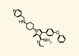 C=c1/c(=C(N)\N=C/C)c(-c2ccc(Oc3ccccc3)cc2)cn1C1CCC(NCc2ccncc2)CC1